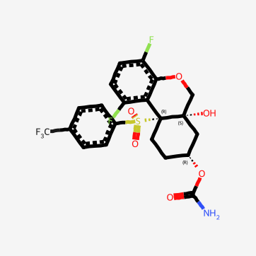 NC(=O)O[C@@H]1CC[C@@]2(S(=O)(=O)c3ccc(C(F)(F)F)cc3)c3c(F)ccc(F)c3OC[C@@]2(O)C1